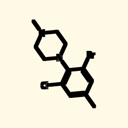 Cc1cc(Cl)c(N2CCN(C)CC2)c(Br)c1